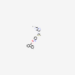 CCOC(=O)c1cc(Nc2ccnc3cc(C(C)C)ncc23)c(Sc2ccc(NC(=O)OCC3c4ccccc4-c4ccccc43)cc2)s1